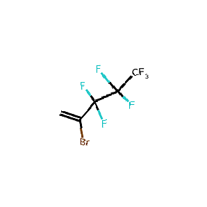 C=C(Br)C(F)(F)C(F)(F)C(F)(F)F